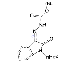 CCCCCCN1C(=O)/C(=N\NC(=O)OC(C)(C)C)c2ccccc21